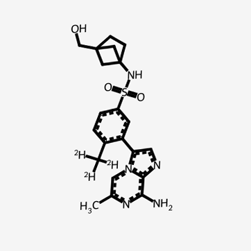 [2H]C([2H])([2H])c1ccc(S(=O)(=O)NC23CCC(CO)(C2)C3)cc1-c1cnc2c(N)nc(C)cn12